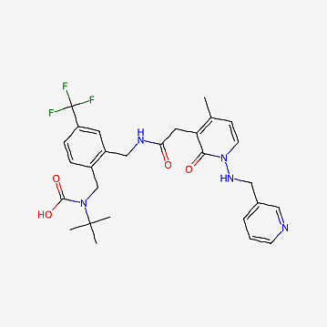 Cc1ccn(NCc2cccnc2)c(=O)c1CC(=O)NCc1cc(C(F)(F)F)ccc1CN(C(=O)O)C(C)(C)C